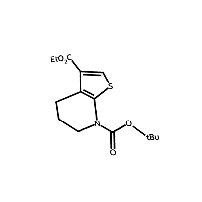 CCOC(=O)c1csc2c1CCCN2C(=O)OC(C)(C)C